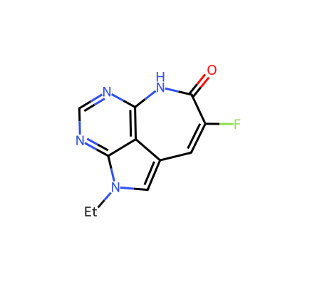 CCn1cc2c3c(ncnc31)NC(=O)C(F)=C2